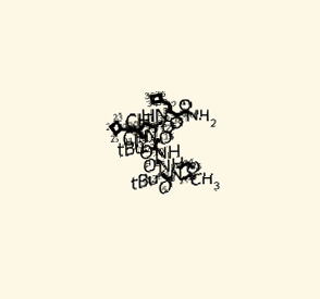 C[C@H]1CN(C(=O)[C@@H](NC(=O)NC(OC(C)(C)C)C(=O)N2CC(C(C)(C)C3CCC3)C[C@H]2C(=O)NC(CC2CCC2)C(=O)C(N)=O)C(C)(C)C)CCO1